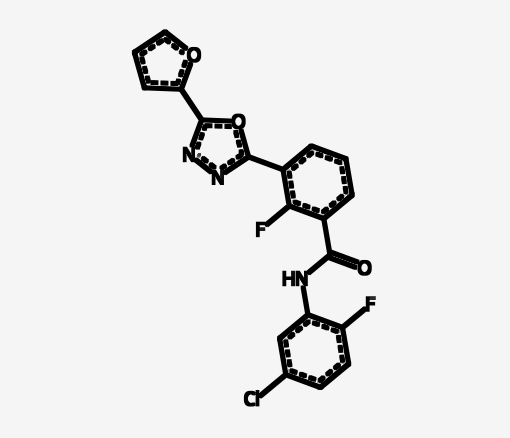 O=C(Nc1cc(Cl)ccc1F)c1cccc(-c2nnc(-c3ccco3)o2)c1F